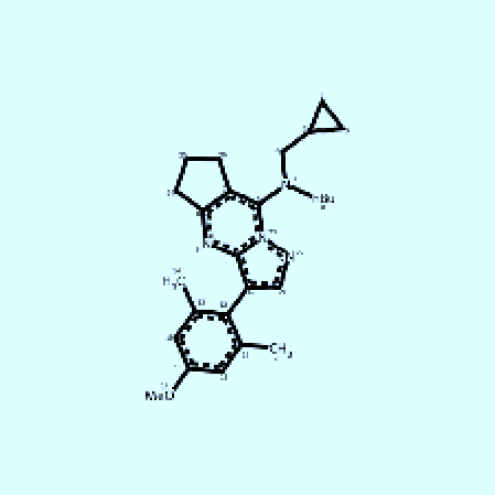 CCCCN(CC1CC1)c1c2c(nc3c(-c4c(C)cc(OC)cc4C)cnn13)CCC2